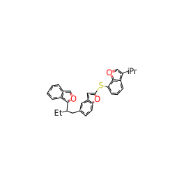 CCC(Cc1ccc2oc(Sc3cccc4c(C(C)C)coc34)cc2c1)c1occ2ccccc12